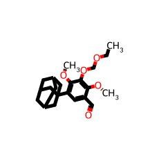 CCOCOc1c(OC)c(C=O)cc(C23CC4CC(CC(C4)C2)C3)c1OC